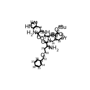 CC[C@H](C)[C@@H](C(=O)N[C@H](Cc1c[nH]cn1)C(N)=O)N(C[C@H](CC(C)C)NC(=O)OC(C)(C)C)C(=O)[C@@H](N)CCOCc1ccccc1